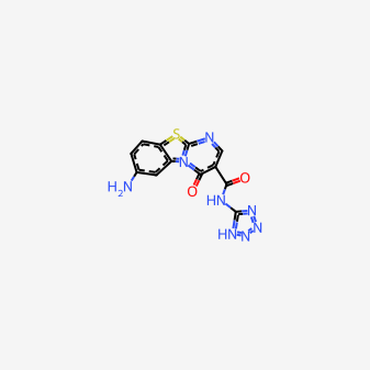 Nc1ccc2sc3ncc(C(=O)Nc4nnn[nH]4)c(=O)n3c2c1